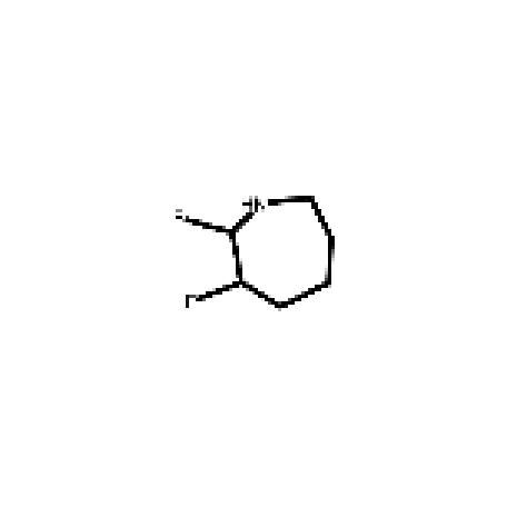 FC1CCCCNC1F